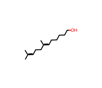 CC(C)=CCC/C(C)=C/CCCCCO